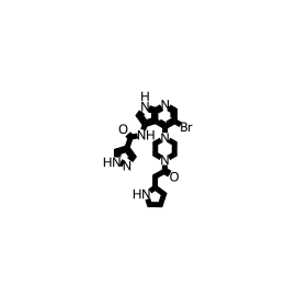 O=C(Nc1c[nH]c2ncc(Br)c(N3CCN(C(=O)CC4CCCN4)CC3)c12)c1cn[nH]c1